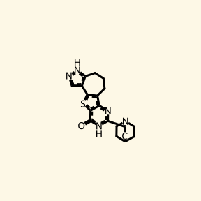 O=c1[nH]c(C2CC3CCN2CC3)nc2c3c(sc12)-c1cn[nH]c1CCC3